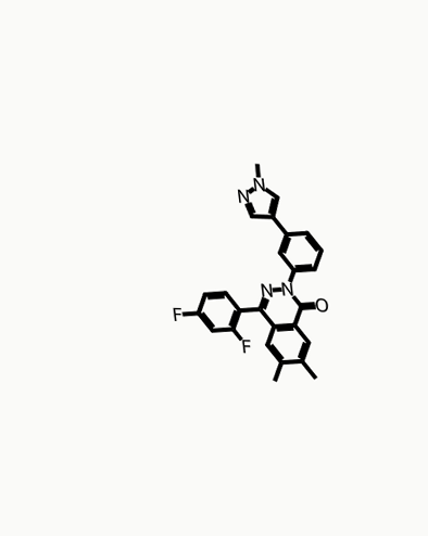 Cc1cc2c(-c3ccc(F)cc3F)nn(-c3cccc(-c4cnn(C)c4)c3)c(=O)c2cc1C